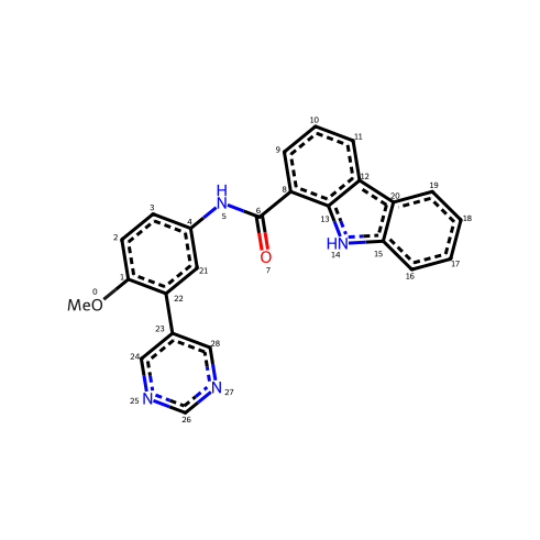 COc1ccc(NC(=O)c2cccc3c2[nH]c2ccccc23)cc1-c1cncnc1